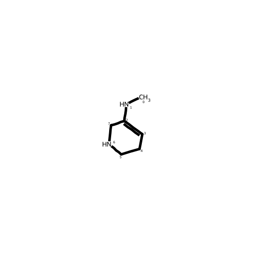 CNC1=CCCNC1